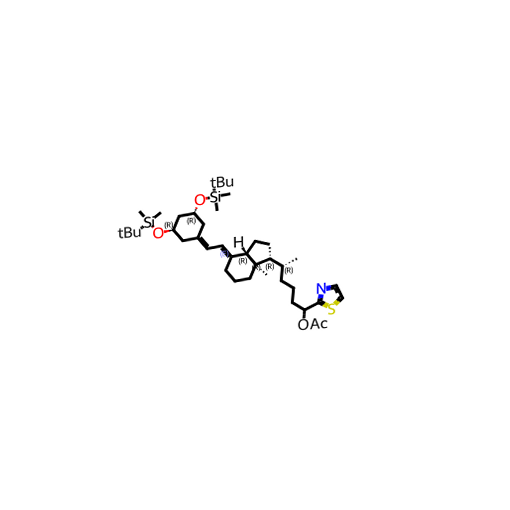 CC(=O)OC(CCC[C@@H](C)[C@H]1CC[C@H]2/C(=C/C=C3C[C@@H](O[Si](C)(C)C(C)(C)C)C[C@H](O[Si](C)(C)C(C)(C)C)C3)CCC[C@]12C)c1nccs1